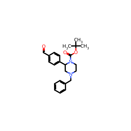 CC(C)(C)OC(=O)N1CCN(Cc2ccccc2)CC1c1ccc(C=O)cc1